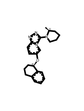 C[C@H]1CCCCN1c1nnc2ccc(O[C@@H]3CCCc4ccccc43)cn12